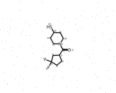 O=C(C1CCC(F)(F)C1)N1CCC(S)CC1